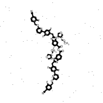 COC[C@H]1COC[C@H]1n1c(Cc2cc(F)c(-c3cccc(OCc4ccc(C#N)cc4F)n3)cc2F)nc2ccc(C(=O)OC(=O)c3ccc4nc(Cc5cc(F)c(-c6cccc(OCc7ccc(C#N)cc7F)n6)cc5F)n([C@@H]5COC[C@@H]5COC)c4c3)cc21